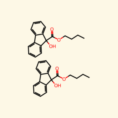 CCCCOC(=O)C1(O)c2ccccc2-c2ccccc21.CCCCOC(=O)C1(O)c2ccccc2-c2ccccc21